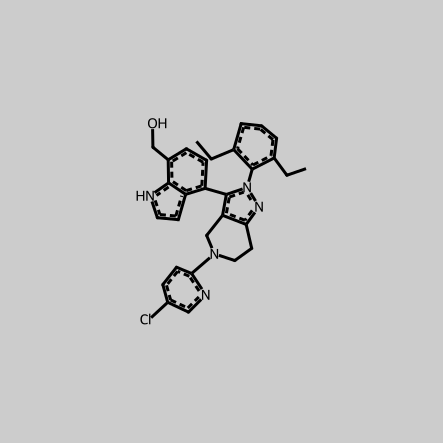 CCc1cccc(CC)c1-n1nc2c(c1-c1ccc(CO)c3[nH]ccc13)CN(c1ccc(Cl)cn1)CC2